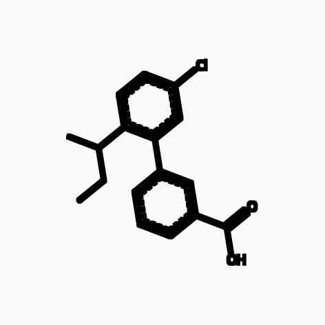 CCC(C)c1ccc(Cl)cc1-c1cccc(C(=O)O)c1